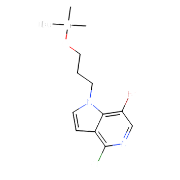 CC(C)(C)[Si](C)(C)OCCCn1ccc2c(Cl)ncc(Br)c21